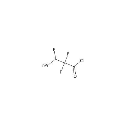 CCCC(F)C(F)(F)C(=O)Cl